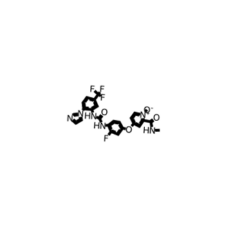 CNC(=O)c1cc(Oc2ccc(NC(=O)Nc3cc(C(F)(F)F)ccc3-n3ccnc3)c(F)c2)cc[n+]1[O-]